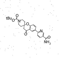 CC(C)(C)OC(=O)N1CCC2(CC1)CC(=O)c1cc(-c3ccc(C(N)=O)cn3)ccc1O2